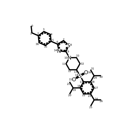 CCc1ccc(-c2csc(N3CCC(S(=O)(=O)c4c(C(C)C)cc(C(C)C)cc4C(C)C)CC3)n2)cc1